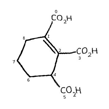 O=C(O)C1=C(C(=O)O)C(C(=O)O)CCC1